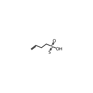 C=CCCS(=O)(O)=S